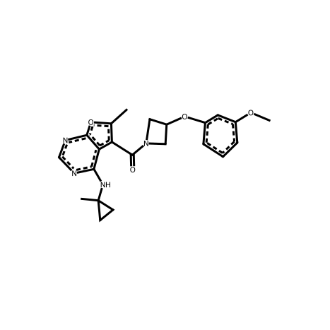 COc1cccc(OC2CN(C(=O)c3c(C)oc4ncnc(NC5(C)CC5)c34)C2)c1